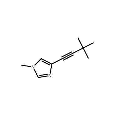 Cn1cnc(C#CC(C)(C)C)c1